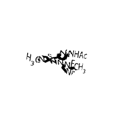 CC(=O)Nc1cc(Nc2ccnc(C(C)(F)F)n2)c(-c2nc3c(s2)CN(C)C3)cn1